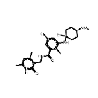 CC[C@]1(Nc2cc(Cl)cc(C(=O)NCc3c(C)cc(C)[nH]c3=O)c2C)CC[C@H](NC)CC1